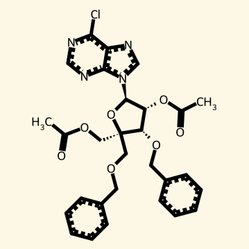 CC(=O)OC[C@]1(COCc2ccccc2)O[C@@H](n2cnc3c(Cl)ncnc32)[C@H](OC(C)=O)[C@@H]1OCc1ccccc1